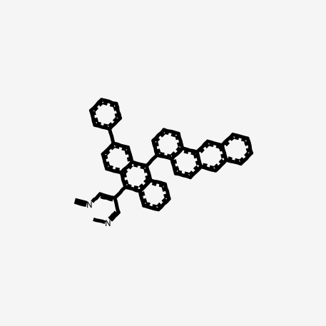 C=N/C=C(\C=N/C)c1c2ccccc2c(-c2cccc3c2ccc2cc4ccccc4cc23)c2cc(-c3ccccc3)ccc12